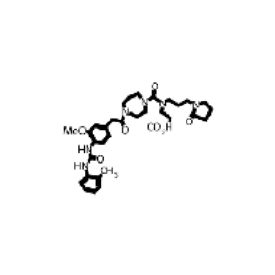 COc1cc(CC(=O)N2CCCN(C(=O)N(CCCN3CCCC3=O)CCC(=O)O)CC2)ccc1NC(=O)Nc1ccccc1C